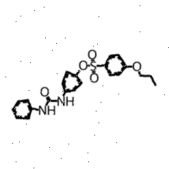 CCCOc1ccc(S(=O)(=O)Oc2ccc(NC(=O)Nc3ccccc3)cc2)cc1